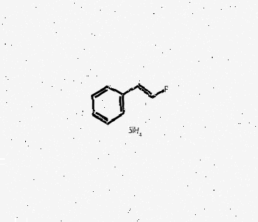 FC=Cc1ccccc1.[SiH4]